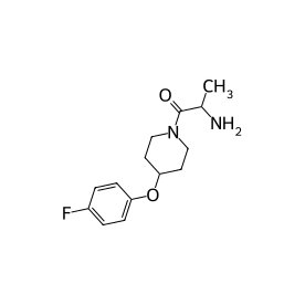 CC(N)C(=O)N1CCC(Oc2ccc(F)cc2)CC1